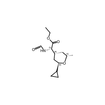 CCOC(=O)[C@@H](NC=O)[C@@H]1C[C@H](C)O[C@@H](C2CC2)C1